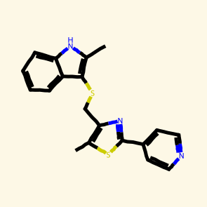 Cc1[nH]c2ccccc2c1SCc1nc(-c2ccncc2)sc1C